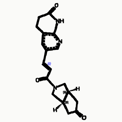 O=C1C[C@@H]2CN(C(=O)/C=C/c3cnc4c(c3)CCC(=O)N4)C[C@@H]2C1